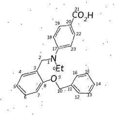 CCN(Cc1ccccc1OCc1ccccc1)c1ccc(C(=O)O)cc1